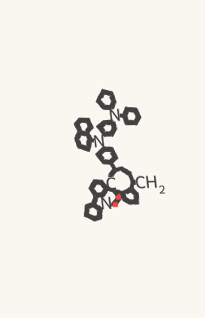 C=C1/C=C\C(c2ccc(N(c3ccc(N(c4ccccc4)c4ccccc4)cc3)c3cccc4ccccc34)cc2)=C/CC2(c3ccccc31)c1ccccc1-n1c3ccccc3c3cccc2c31